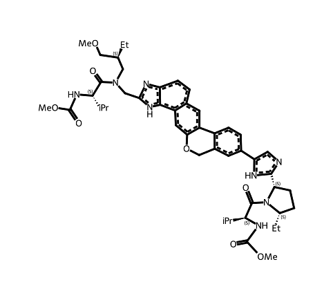 CC[C@H](COC)CN(Cc1nc2ccc3cc4c(cc3c2[nH]1)OCc1cc(-c2cnc([C@@H]3CC[C@H](CC)N3C(=O)[C@@H](NC(=O)OC)C(C)C)[nH]2)ccc1-4)C(=O)[C@@H](NC(=O)OC)C(C)C